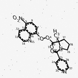 CC1(C(=O)OOc2ccc([N+](=O)[O-])c3cccnc23)CCCN1C(=O)c1ccncc1